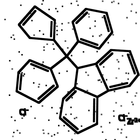 C1=CCC(C(c2ccccc2)(c2ccccc2)C2c3ccccc3-c3ccccc32)=C1.[Cl-].[Cl-].[Zr+2]